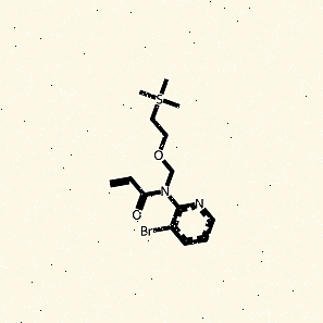 C=CC(=O)N(COCCS(C)(C)C)c1ncccc1Br